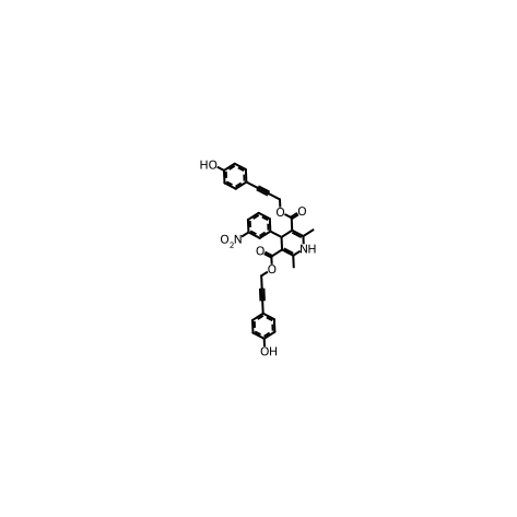 CC1=C(C(=O)OCC#Cc2ccc(O)cc2)C(c2cccc([N+](=O)[O-])c2)C(C(=O)OCC#Cc2ccc(O)cc2)=C(C)N1